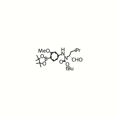 COc1cc(NN(C(=O)OC(C)(C)C)[C@@H](C=O)CC(C)C)ccc1B1OC(C)(C)C(C)(C)O1